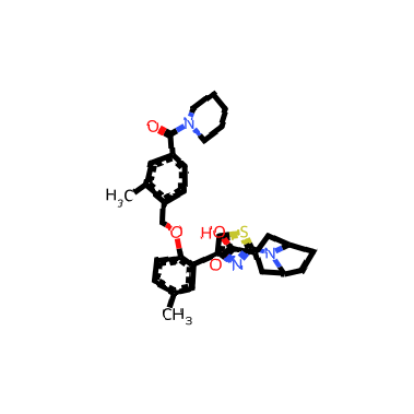 Cc1ccc(OCc2ccc(C(=O)N3CCCCC3)cc2C)c(-c2csc(N3C4CCC3CC(C(=O)O)C4)n2)c1